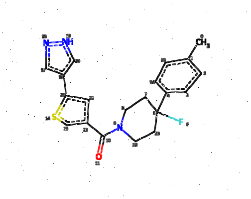 Cc1ccc(C2(F)CCN(C(=O)c3csc(-c4cn[nH]c4)c3)CC2)cc1